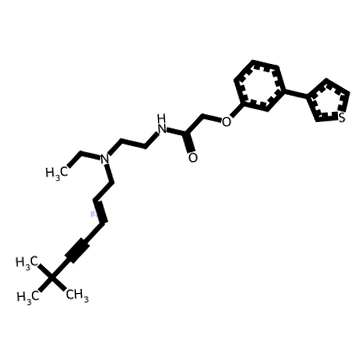 CCN(C/C=C/C#CC(C)(C)C)CCNC(=O)COc1cccc(-c2ccsc2)c1